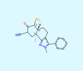 Cn1nc2c(c1-c1ccccc1)CC[C@H]1[C@H](P)C(=O)C(C#N)C[C@]21C